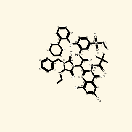 CCOC1C(=O)N(C(C(=O)Nc2cc(S(=O)(=O)NC)ccc2Oc2ccccc2C2CCCCC2)c2nc3c(Cl)cc(Cl)cc3c(=O)n2NC(=O)C(C)(C)C)C(=O)N1Cc1ccccc1